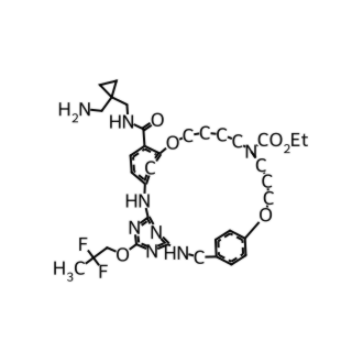 CCOC(=O)N1CCCCOc2cc(ccc2C(=O)NCC2(CN)CC2)Nc2nc(nc(OCC(C)(F)F)n2)NCc2ccc(cc2)OCCC1